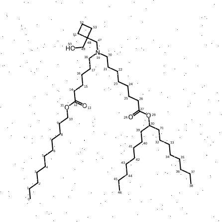 CCCCCCCCCCCOC(=O)CCCCCN(CCCCCCCC(=O)OC(CCCCCCCC)CCCCCCCC)CC1(CO)CCC1